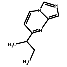 CCC(C)c1ccn2cncc2n1